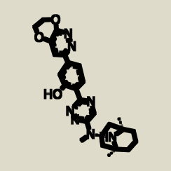 CN(c1cnc(-c2ccc(-c3cc4c(nn3)OCCO4)cc2O)nn1)[C@H]1C[C@]2(C)CCC[C@](C)(C1)N2